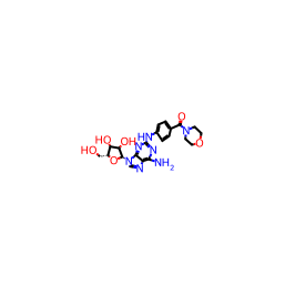 Nc1nc(Nc2ccc(C(=O)N3CCOCC3)cc2)nc2c1ncn2[C@@H]1O[C@H](CO)C(O)C1O